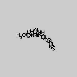 CN1CCC(Nc2c(Cl)cnc3[nH]c(-c4ccc(N5CCN(Cc6cscn6)CC5)cc4)nc23)CC1